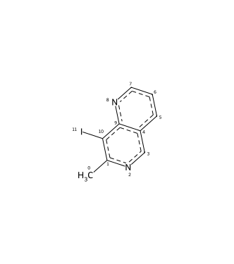 Cc1ncc2cccnc2c1I